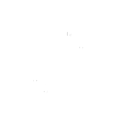 CCOc1ccc(/C=C/C(=O)OC)cc1CBr